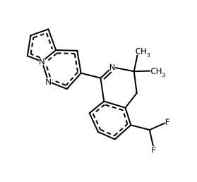 CC1(C)Cc2c(cccc2C(F)F)C(c2cnn3cccc3c2)=N1